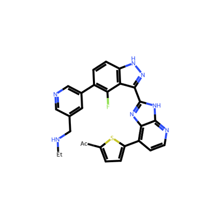 CCNCc1cncc(-c2ccc3[nH]nc(-c4nc5c(-c6ccc(C(C)=O)s6)ccnc5[nH]4)c3c2F)c1